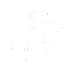 Cc1cc2c(ccc(=O)n2CC2CC2)c(-c2ccc3c4c(ccnc24)CCO3)c1[C@@H](CO)OC(C)(C)C